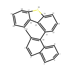 Cc1ccc2ccccc2c1-c1cccc2sc3ccccc3c12